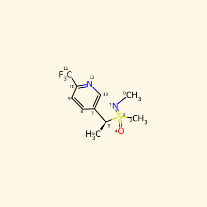 CN=S(C)(=O)[C@@H](C)c1ccc(C(F)(F)F)nc1